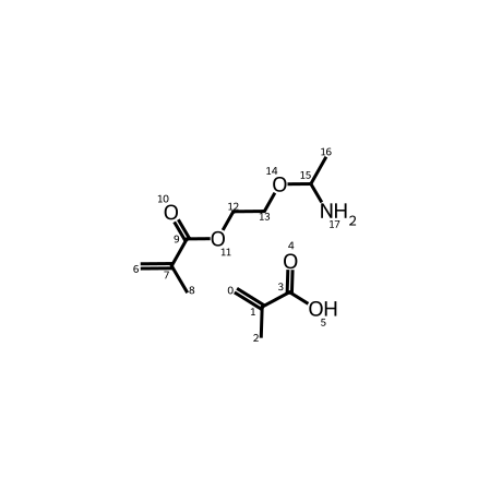 C=C(C)C(=O)O.C=C(C)C(=O)OCCOC(C)N